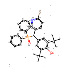 CC(C)(C)c1cc(C(c2ccc(Br)nc2)P(=O)(c2ccccc2)c2ccccc2)cc(C(C)(C)C)c1O